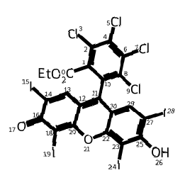 CCOC(=O)c1c(Cl)c(Cl)c(Cl)c(Cl)c1-c1c2cc(I)c(=O)c(I)c-2oc2c(I)c(O)c(I)cc12